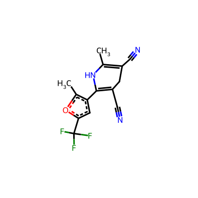 CC1=C(C#N)CC(C#N)=C(c2cc(C(F)(F)F)oc2C)N1